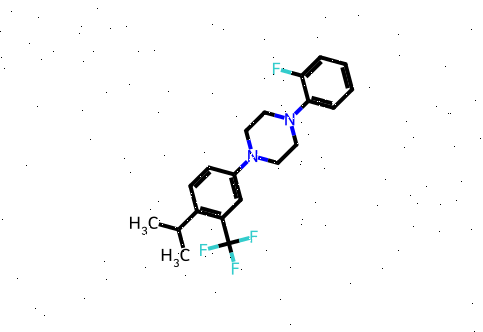 CC(C)c1ccc(N2CCN(c3ccccc3F)CC2)cc1C(F)(F)F